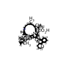 CCC(C)N(C(=O)O)[C@@H]1C(=O)N2[C@@H](C[C@@](C)(Oc3nc4c(c5ccccc35)OCCC4)C2(F)F)C(=O)N[C@]2(C(=O)NS(=O)(=O)C3(C)CC3)C[C@H]2/C=C\CC[C@@H](C)C[C@H]1C